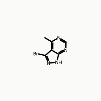 Cc1ncnc2[nH]nc(Br)c12